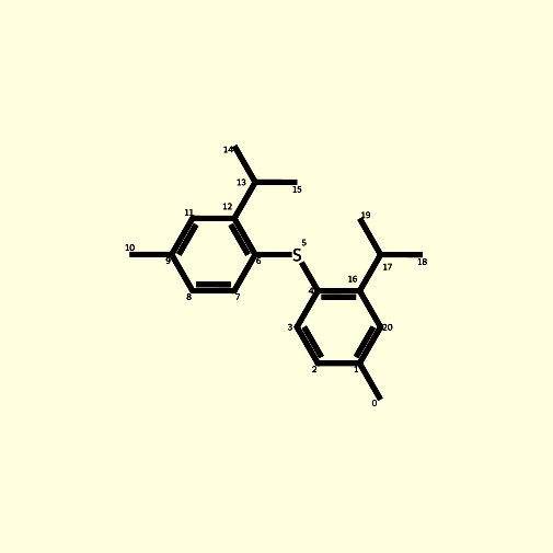 Cc1ccc(Sc2ccc(C)cc2C(C)C)c(C(C)C)c1